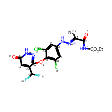 CCOC(=O)NC(=O)/C(C#N)=N/Nc1cc(Cl)c(Oc2n[nH]c(=O)cc2C(F)F)c(Cl)c1